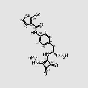 CCCNc1c(N[C@@H](Cc2ccc(NC(=O)c3ccsc3C(C)=O)cc2)C(=O)O)c(=O)c1=O